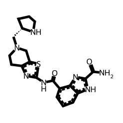 NC(=O)c1nc2c(C(=O)Nc3nc4c(s3)CN(C[C@@H]3CCCN3)CC4)cccc2[nH]1